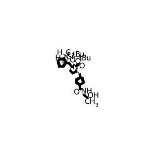 CC(O)CNC(=O)c1ccc(C[C@@H]2CC[C@H]([C@H](O[Si](C)(C)C(C)(C)C)c3ccccc3)N2C(=O)OC(C)(C)C)cc1